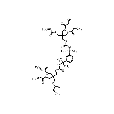 C=CC(=O)OCC(COC(=O)C=C)(COC(=O)C=C)COC(=O)NC(C)(C)c1cccc(C(C)(C)NC(=O)OCC(COC(=O)C=C)(COC(=O)C=C)COC(=O)C=C)c1